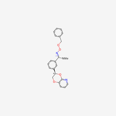 CN/C(=N\OOCc1ccccc1)c1cccc([C@@H]2COc3cccnc3O2)c1